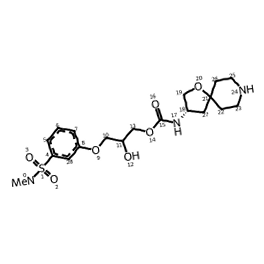 CNS(=O)(=O)c1cccc(OCC(O)COC(=O)N[C@@H]2COC3(CCNCC3)C2)c1